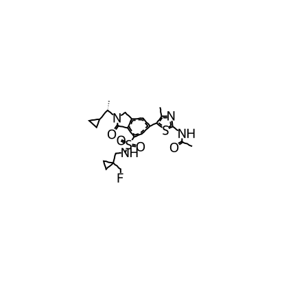 CC(=O)Nc1nc(C)c(-c2cc3c(c(S(=O)(=O)NCC4(CF)CC4)c2)C(=O)N([C@@H](C)C2CC2)C3)s1